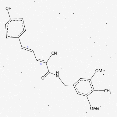 COc1cc(CNC(=O)/C(C#N)=C/C=C/c2ccc(O)cc2)cc(OC)c1C